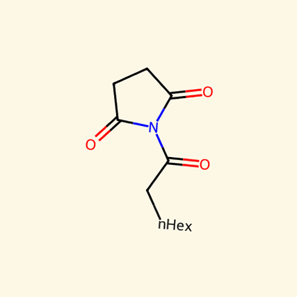 CCCCCCCC(=O)N1C(=O)CCC1=O